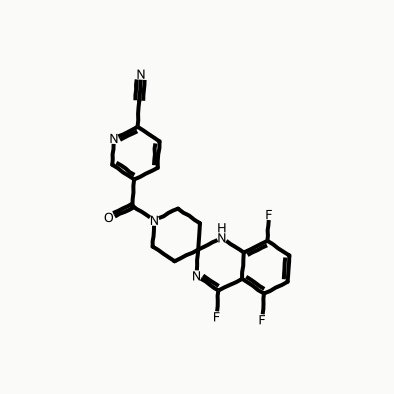 N#Cc1ccc(C(=O)N2CCC3(CC2)N=C(F)c2c(F)ccc(F)c2N3)cn1